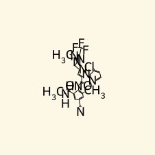 CNC(=O)c1cc(C#N)cc(C)c1NC(=O)c1cc(Cn2nc(C(F)(F)F)n2C)nn1-c1ncccc1Cl